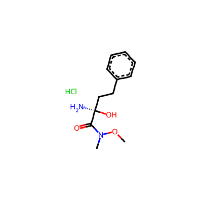 CON(C)C(=O)[C@](N)(O)CCc1ccccc1.Cl